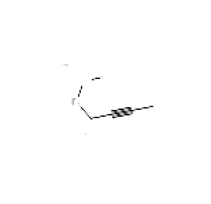 CC#C[C@@H](N[S@@+]([O-])C(C)(C)C)C(C)C